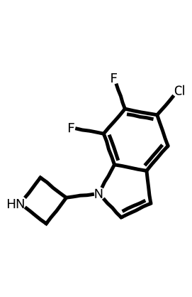 Fc1c(Cl)cc2ccn(C3CNC3)c2c1F